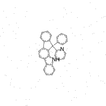 c1ccc(C2(c3ccccn3)c3ccccc3-c3ccc4c([nH]c5ccccc54)c32)cc1